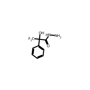 NNC(=O)C(O)(c1ccccc1)C(F)(F)F